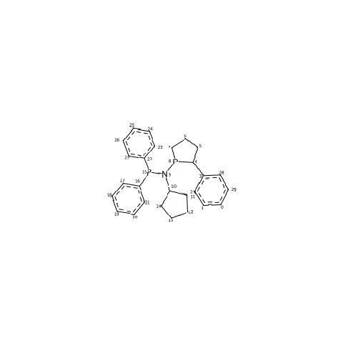 c1ccc(C2CCCP2N(C2CCCC2)P(c2ccccc2)c2ccccc2)cc1